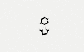 CC1C=CC=CC1N1C(=O)C=CC1=O